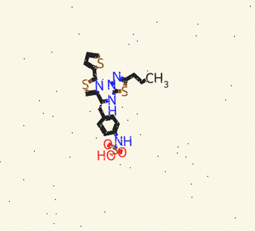 CCCc1nnc(N[C@@H](Cc2ccc(NS(=O)(=O)O)cc2)c2csc(-c3cccs3)n2)s1